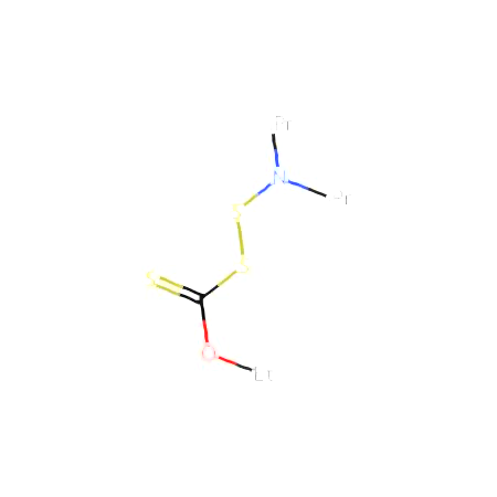 CCOC(=S)SSN(C(C)C)C(C)C